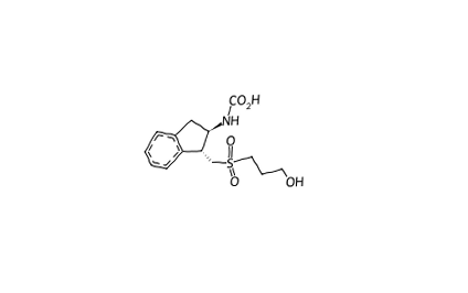 O=C(O)N[C@@H]1Cc2ccccc2[C@H]1CS(=O)(=O)CCCO